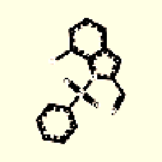 O=Cc1cc2cccc(Cl)c2n1S(=O)(=O)c1ccccc1